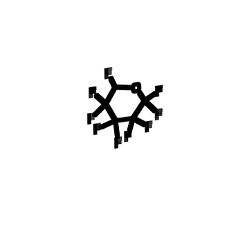 FC1OC(F)(F)C(F)(F)C(F)(F)C1(F)F